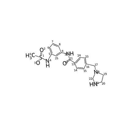 CS(=O)(=O)Nc1cccc(NC(=O)c2ccc(CN3CCNC3)cc2)c1